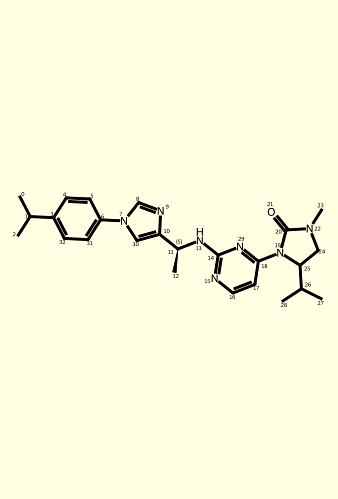 CC(C)c1ccc(-n2cnc([C@H](C)Nc3nccc(N4C(=O)N(C)CC4C(C)C)n3)c2)cc1